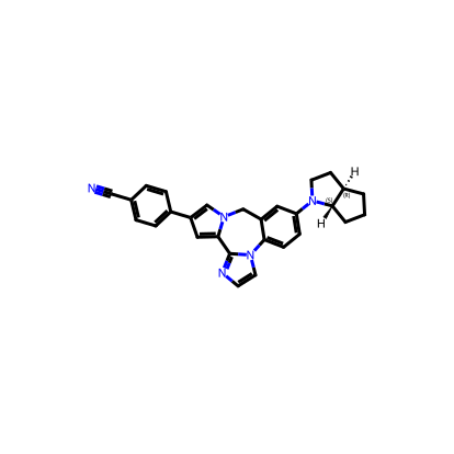 N#Cc1ccc(-c2cc3n(c2)Cc2cc(N4CC[C@H]5CCC[C@@H]54)ccc2-n2ccnc2-3)cc1